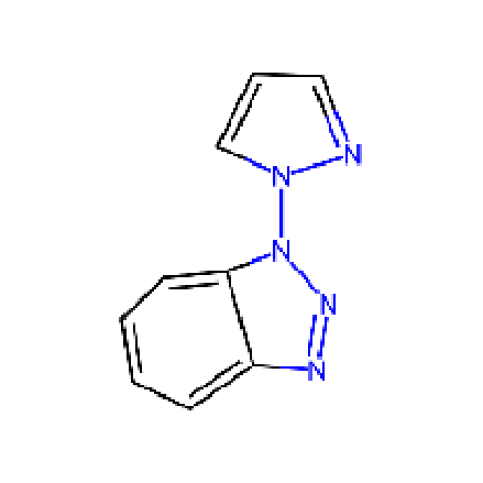 c1ccc2c(c1)nnn2-n1cccn1